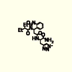 CCC(CC)C(=O)NC(CC(=O)NC(Cc1cn(C)nn1)C(N)=O)c1ccccc1[N+](=O)[O-]